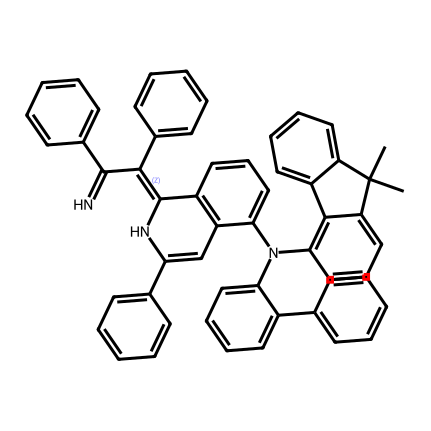 CC1(C)c2ccccc2-c2c(N(c3ccccc3-c3ccccc3)c3cccc4c3C=C(c3ccccc3)N/C4=C(\C(=N)c3ccccc3)c3ccccc3)cccc21